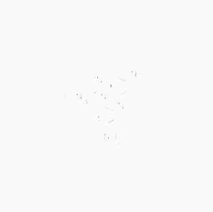 NC(=O)C(=O)N(c1ccc(N)cc1N)c1ccc(N)cc1N